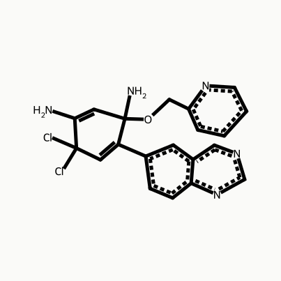 NC1=CC(N)(OCc2ccccn2)C(c2ccc3ncncc3c2)=CC1(Cl)Cl